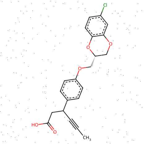 CC#CC(CC(=O)O)c1ccc(OC[C@H]2COc3cc(Cl)ccc3O2)cc1